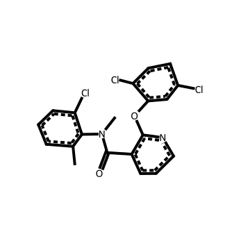 Cc1cccc(Cl)c1N(C)C(=O)c1cccnc1Oc1cc(Cl)ccc1Cl